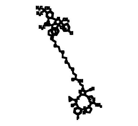 CCOc1cc(C(C)(C)C)ccc1C1=N[C@@](C)(c2ccc(Cl)cc2)[C@@](C)(c2ccc(Cl)cc2)N1C(O)N1CCN(CCOCCOCCOCCOCCC(=O)NCCn2nc3c(c2C#N)-c2cnc(N)c(c2)N2CCC[C@@H]2c2cc(F)ccc2C(=O)N(C2CC2)C3)CC1